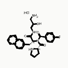 Cl.NCC(O)CNC(=O)[C@@H](Cc1ccc2ccccc2c1)N(C(=O)c1ccc(F)cc1)C(=O)[C@@H]1CCCN1